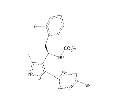 Cc1noc(-c2ccc(Br)cn2)c1[C@@H](Cc1ccccc1F)NC(=O)O